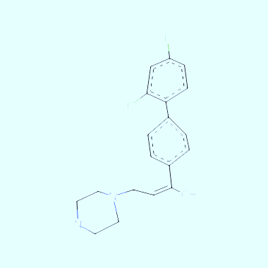 CC(=CCN1CCNCC1)c1ccc(-c2ccc(F)cc2F)cc1